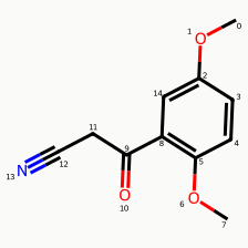 COc1ccc(OC)c(C(=O)CC#N)c1